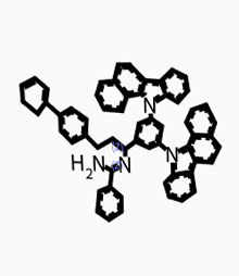 N/C(=N\C(=C/Cc1ccc(C2=CC=CCC2)cc1)c1cc(-n2c3ccccc3c3ccc4ccccc4c32)cc(-n2c3ccccc3c3ccc4ccccc4c32)c1)c1ccccc1